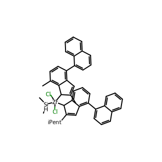 CCCC(C)C1=Cc2c(-c3cccc4ccccc34)cccc2[CH]1[Zr]([Cl])([Cl])([CH]1C(C)=Cc2c(-c3cccc4ccccc34)ccc(C)c21)[SiH](C)C